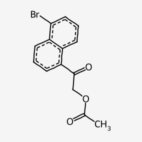 CC(=O)OCC(=O)c1cccc2c(Br)cccc12